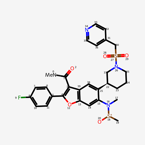 CNC(=O)c1c(-c2ccc(F)cc2)oc2cc(N(C)[S+](C)[O-])c([C@@H]3CCCN(S(=O)(=O)Cc4ccncc4)C3)cc12